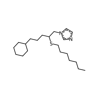 CCCCCCCSC(CCCC1CCCCC1)Cn1ccnc1